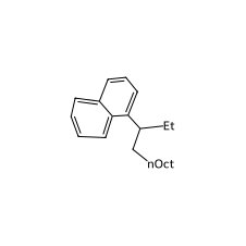 [CH2]CC(CCCCCCCCC)c1cccc2ccccc12